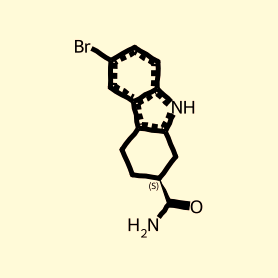 NC(=O)[C@H]1CCc2c([nH]c3ccc(Br)cc23)C1